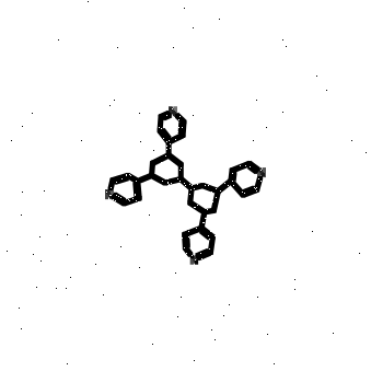 c1cc(C2CC(c3ccncc3)CC(C3CC(c4ccncc4)CC(c4ccncc4)C3)C2)ccn1